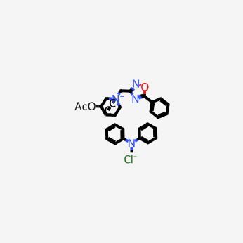 CC(=O)OC1C[N+]2(Cc3noc(-c4ccccc4)n3)CCC1CC2.CN(c1ccccc1)c1ccccc1.[Cl-]